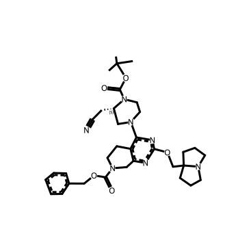 CC(C)(C)OC(=O)N1CCN(c2nc(OCC34CCCN3CCC4)nc3c2CCN(C(=O)OCc2ccccc2)C3)C[C@@H]1CC#N